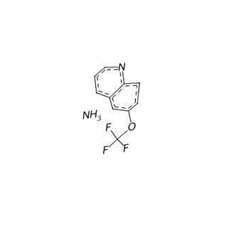 FC(F)(F)Oc1ccc2ncccc2c1.N